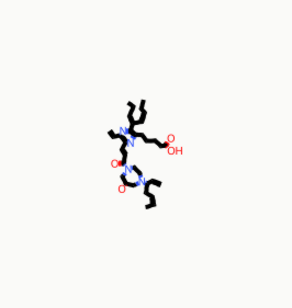 C=Cc1nc(C(/C=C\CC)=C/CC)c(CCCCC(=O)O)nc1/C=C/C(=O)N1CCN(C(C=C)C/C=C\C)CC(=O)C1